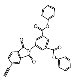 C#Cc1ccc2c(c1)C(=O)N(c1cc(C(=O)Oc3ccccc3)cc(C(=O)Oc3ccccc3)c1)C2=O